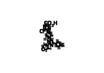 CC1COCCN1c1nc(-c2ccc(F)cc2)cc(N2CCN(c3ncc(C(=O)O)nc3Cl)C[C@H]2C)n1